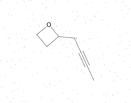 CC#C[CH]C1CCO1